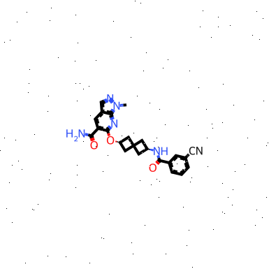 Cn1ncc2cc(C(N)=O)c(O[C@H]3CC4(C[C@H](NC(=O)c5cccc(C#N)c5)C4)C3)nc21